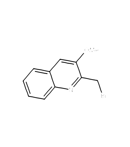 COc1cc2ccccc2nc1CBr